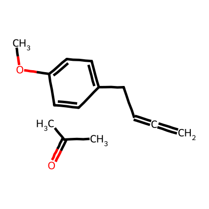 C=C=CCc1ccc(OC)cc1.CC(C)=O